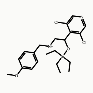 CC[Si](CC)(CC)OC(CNCc1ccc(OC)cc1)c1c(Cl)cncc1Cl